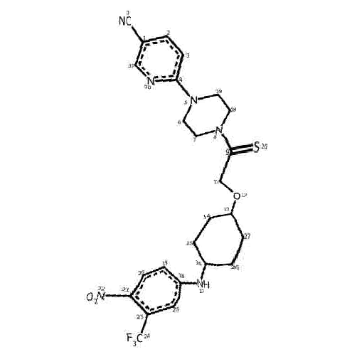 N#Cc1ccc(N2CCN(C(=S)COC3CCC(Nc4ccc([N+](=O)[O-])c(C(F)(F)F)c4)CC3)CC2)nc1